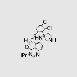 Cc1c(N[C@]2(c3c(F)ccc(Cl)c3Cl)CCNC2)ccc2ncn(C(C)C)c(=O)c12